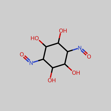 O=NC1C(O)C(O)C(N=O)C(O)C1O